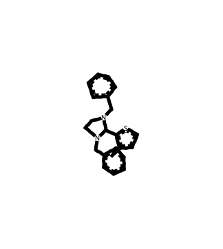 Cc1ccsc1C1N(Cc2ccccc2)CCN1Cc1ccccc1